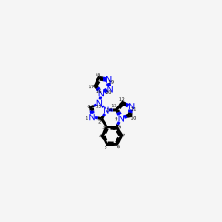 C1=NC2c3ccccc3-n3cncc3N2N1n1ccnn1